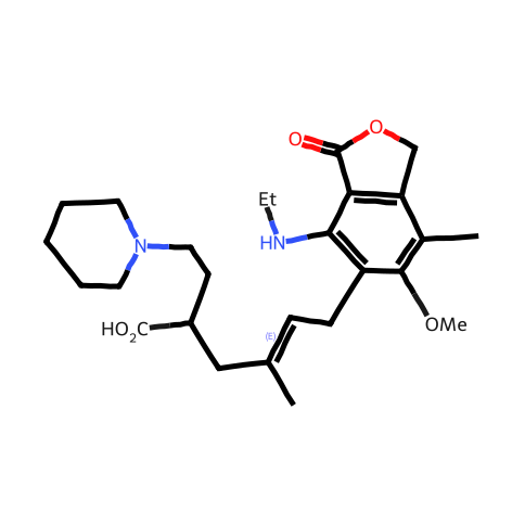 CCNc1c(C/C=C(\C)CC(CCN2CCCCC2)C(=O)O)c(OC)c(C)c2c1C(=O)OC2